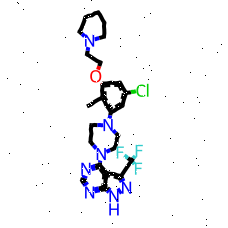 Cc1c(OCCN2CCCCC2)cc(Cl)cc1N1CCN(c2ncnc3[nH]nc(C(F)(F)F)c23)CC1